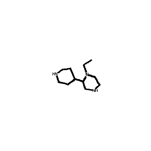 CCN1CCNCC1C1CCNCC1